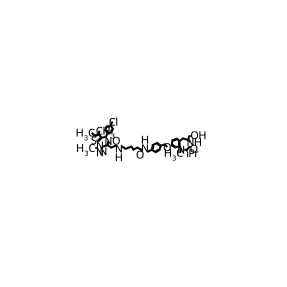 Cc1sc2c(c1C)C(c1ccc(Cl)cc1)=NC(CC(=O)NCCCCCC(=O)NCc1ccc(COc3ccc4c(c3)N(C)C(C(C)C)C(=O)NC(CO)C4)cc1)c1nnc(C)n1-2